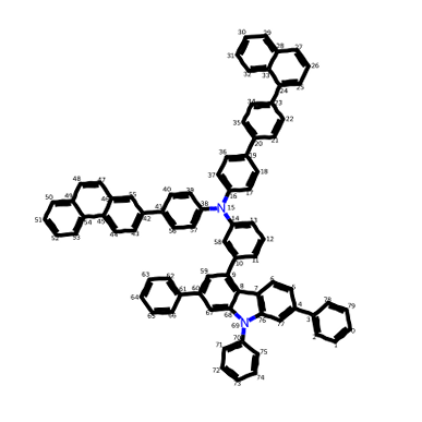 c1ccc(-c2ccc3c4c(-c5cccc(N(c6ccc(-c7ccc(-c8cccc9ccccc89)cc7)cc6)c6ccc(-c7ccc8c(ccc9ccccc98)c7)cc6)c5)cc(-c5ccccc5)cc4n(-c4ccccc4)c3c2)cc1